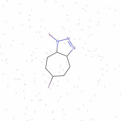 IC1CCC2N=NN(I)C2CC1